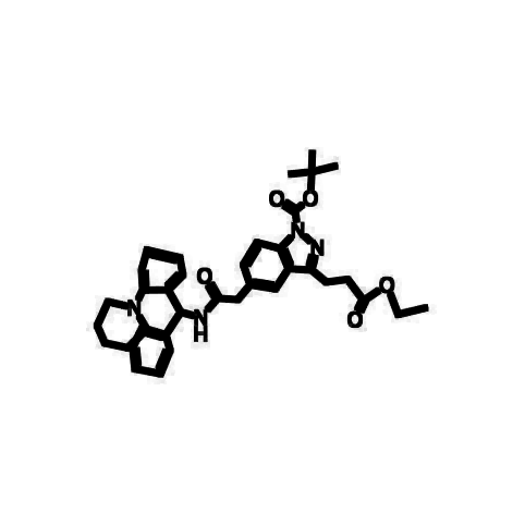 CCOC(=O)CCc1nn(C(=O)OC(C)(C)C)c2ccc(CC(=O)NC(c3ccccc3)c3ccccc3N3CCCCC3)cc12